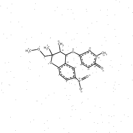 COCC1(C)Oc2ccc([N+](=O)[O-])cc2C(Oc2ccc(=O)n(C)n2)C1C